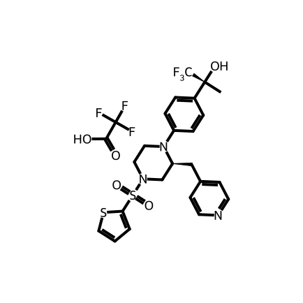 C[C@@](O)(c1ccc(N2CCN(S(=O)(=O)c3cccs3)C[C@@H]2Cc2ccncc2)cc1)C(F)(F)F.O=C(O)C(F)(F)F